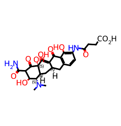 CN(C)[C@@H]1C(O)C(C(N)=O)C(=O)[C@@]2(O)C(O)=C3C(=O)c4c(ccc(NC(=O)CCC(=O)O)c4O)C[C@H]3C[C@@H]12